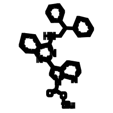 CC(C)(C)OC(=O)n1cc(-c2nc(NCC(c3ccccc3)c3ccccc3)c3ccccc3n2)c2cccnc21